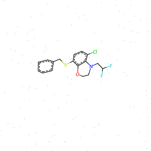 FC(F)CN1CCOc2c(SCc3ccccc3)ccc(Cl)c21